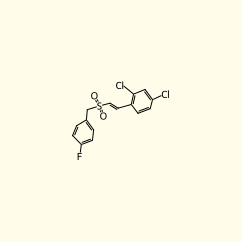 O=S(=O)(C=Cc1ccc(Cl)cc1Cl)Cc1ccc(F)cc1